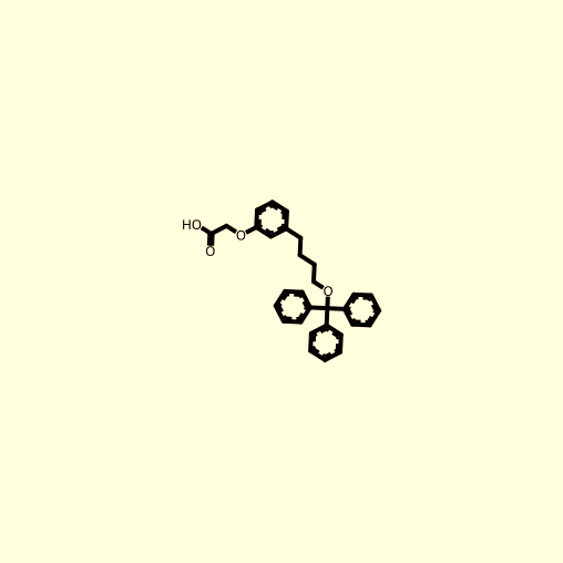 O=C(O)COc1cccc(CCCCOC(c2ccccc2)(c2ccccc2)c2ccccc2)c1